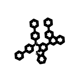 c1ccc(-c2ccc(N(c3ccc(-c4ccccc4)cc3)c3cc(-c4cc5ccccc5c5cc(-c6ccccc6)ccc45)cc4c3sc3ccccc34)cc2)cc1